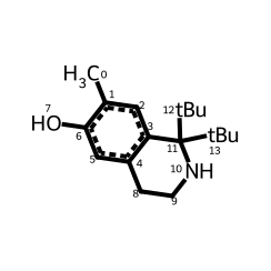 Cc1cc2c(cc1O)CCNC2(C(C)(C)C)C(C)(C)C